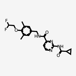 Cc1cc(CNC(=O)c2ccnc(NC(=O)C3CC3)n2)cc(C)c1OCC(F)F